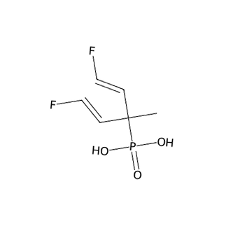 CC(C=CF)(C=CF)P(=O)(O)O